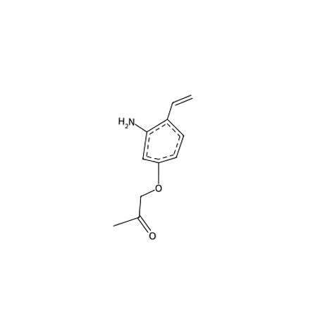 C=Cc1ccc(OCC(C)=O)cc1N